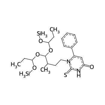 CCC(O[SiH3])OC(OC(CC)O[SiH3])C(C)CCn1c(-c2ccccc2)cc(=O)[nH]c1=S